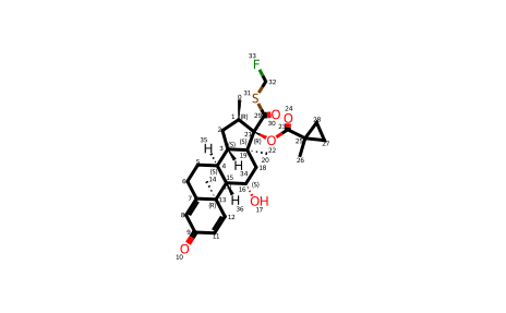 C[C@@H]1C[C@H]2[C@@H]3CCC4=CC(=O)C=C[C@]4(C)[C@H]3[C@@H](O)C[C@]2(C)[C@@]1(OC(=O)C1(C)CC1)C(=O)SCF